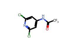 O=C(Nc1cc(Cl)nc(Cl)c1)C(F)(F)F